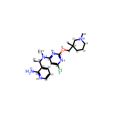 CCN(c1cc(Cl)nc(OCC2(C)CCCN(C)C2)n1)[C@H](C)c1cccnc1N